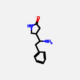 NC(Cc1ccccc1)C1CNC(=O)C1